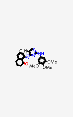 COc1cc(Nc2ncc([N+](=O)[O-])c(Nc3cccc4c3C(=O)CCC4)n2)cc(OC)c1OC